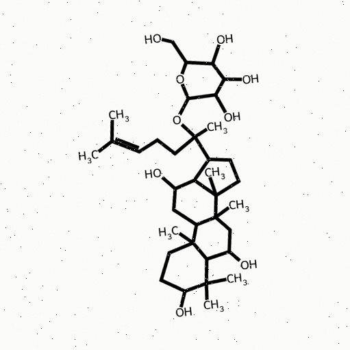 CC(C)=CCCC(C)(OC1OC(CO)C(O)C(O)C1O)C1CCC2(C)C1C(O)CC1C3(C)CCC(O)C(C)(C)C3C(O)CC12C